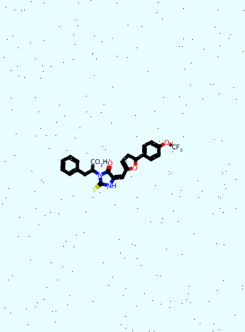 O=C(O)C(Cc1ccccc1)N1C(=O)/C(=C\C2=CCC(c3ccc(OC(F)(F)F)cc3)O2)NC1=S